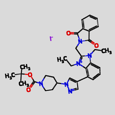 CCn1c(CN2C(=O)c3ccccc3C2=O)[n+](CC)c2c(-c3cnn(C4CCN(C(=O)OC(C)(C)C)CC4)c3)cccc21.[I-]